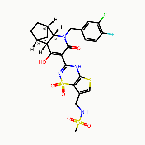 CS(=O)(=O)NCc1csc2c1S(=O)(=O)N=C(C1=C(O)[C@@H]3[C@@H]4CC[C@@H](C4)[C@@H]3N(Cc3ccc(F)c(Cl)c3)C1=O)N2